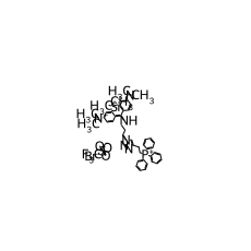 CN(C)c1ccc2c(c1)[Si](C)(C)C1=CC(=[N+](C)C)C=CC1=C2NCCCn1cc(CC[P+](c2ccccc2)(c2ccccc2)c2ccccc2)nn1.O=S(=O)([O-])C(F)(F)F.[Br-]